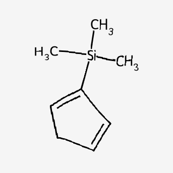 C[Si](C)(C)C1=CCC=C1